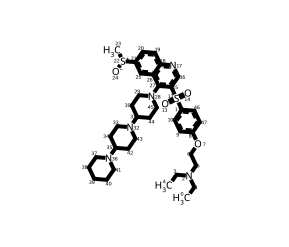 CCN(CC)CCOc1ccc(S(=O)(=O)c2cnc3ccc([S+](C)[O-])cc3c2N2CCC(N3CCC(N4CCCCC4)CC3)CC2)cc1